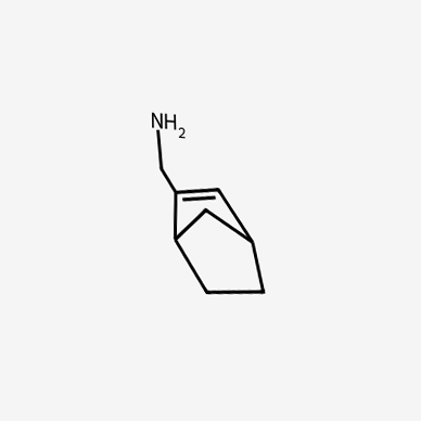 NCC1=CC2CCC1C2